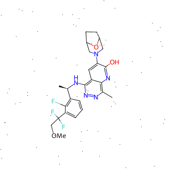 COCC(F)(F)c1cccc([C@@H](C)Nc2nnc(C)c3nc(O)c(N4CC5CCC(C4)O5)cc23)c1F